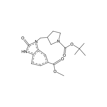 COC(=O)c1ccc2[nH]c(=O)n(CC3CCN(C(=O)OC(C)(C)C)C3)c2c1